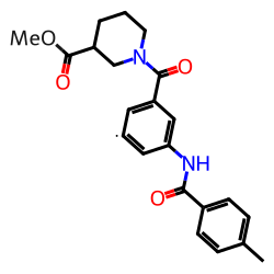 COC(=O)C1CCCN(C(=O)c2c[c]cc(NC(=O)c3ccc(C)cc3)c2)C1